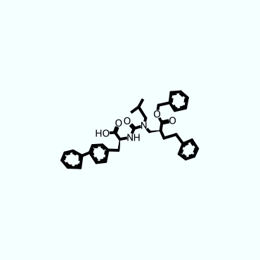 CC(C)CN(C[C@H](CCc1ccccc1)C(=O)OCc1ccccc1)C(=O)N[C@@H](Cc1ccc(-c2ccccc2)cc1)C(=O)O